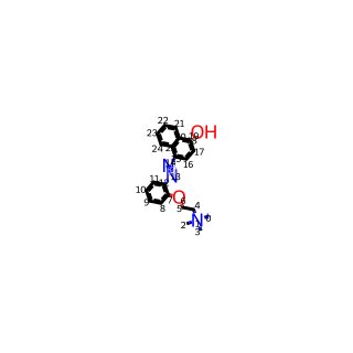 C[N+](C)(C)CCOc1ccccc1/N=N/c1ccc(O)c2ccccc12